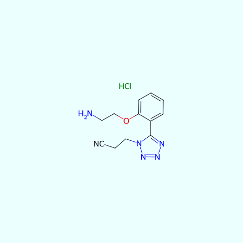 Cl.N#CCCn1nnnc1-c1ccccc1OCCN